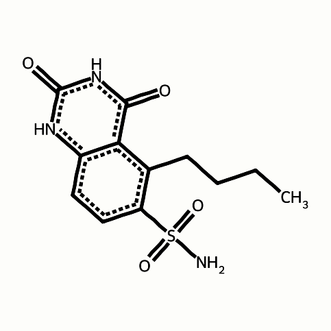 CCCCc1c(S(N)(=O)=O)ccc2[nH]c(=O)[nH]c(=O)c12